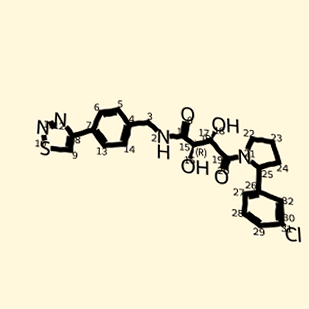 O=C(NCc1ccc(-c2csnn2)cc1)[C@H](O)[C@@H](O)C(=O)N1CCCC1c1cccc(Cl)c1